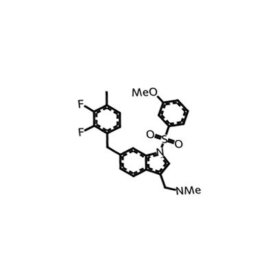 CNCc1cn(S(=O)(=O)c2cccc(OC)c2)c2cc(Cc3ccc(C)c(F)c3F)ccc12